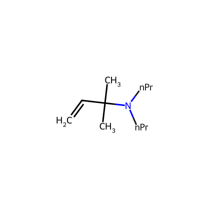 C=CC(C)(C)N(CCC)CCC